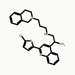 CC(CNCCCN1CCc2ccccc2C1)c1cc(-c2ccc(Cl)s2)nc2ccccc12